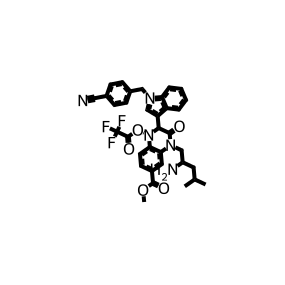 COC(=O)c1ccc2c(c1)N(CC(N)CC(C)C)C(=O)C(c1cn(Cc3ccc(C#N)cc3)c3ccccc13)N2OC(=O)C(F)(F)F